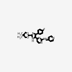 CC1(C)COC(c2nc(-c3ccc(F)cc3)c(-c3ccnc(NCc4ccncc4)n3)[nH]2)OC1